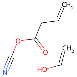 C=CCC(=O)OC#N.C=CO